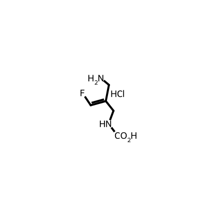 Cl.NCC(=CF)CNC(=O)O